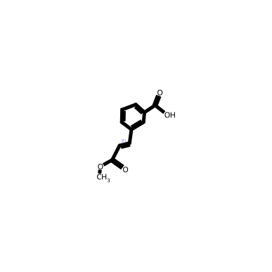 COC(=O)/C=C/c1cccc(C(=O)O)c1